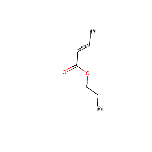 CC(C)C=CC(=O)OCCC(C)C